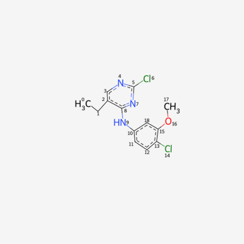 CCc1cnc(Cl)nc1Nc1ccc(Cl)c(OC)c1